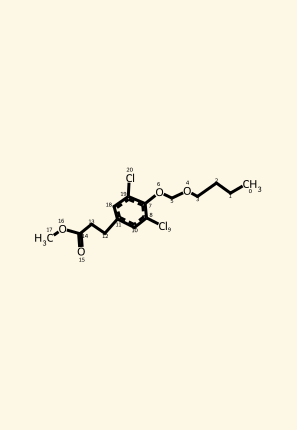 CCCCOCOc1c(Cl)cc(CCC(=O)OC)cc1Cl